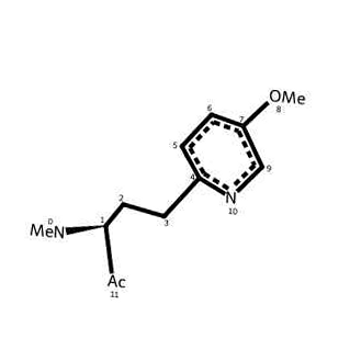 CN[C@@H](CCc1ccc(OC)cn1)C(C)=O